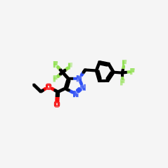 CCOC(=O)c1nnn(Cc2ccc(C(F)(F)F)cc2)c1C(F)(F)F